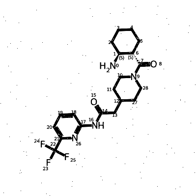 N[C@H]1CCCC[C@@H]1C(=O)N1CCC(CC(=O)Nc2cccc(C(F)(F)F)n2)CC1